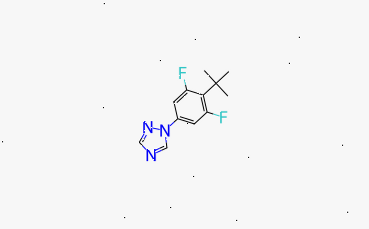 CC(C)(C)c1c(F)cc(-n2cncn2)cc1F